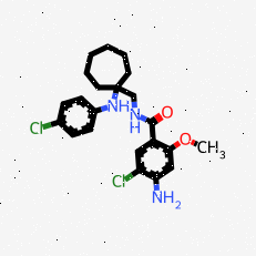 COc1cc(N)c(Cl)cc1C(=O)NCC1(Nc2ccc(Cl)cc2)CCCCCC1